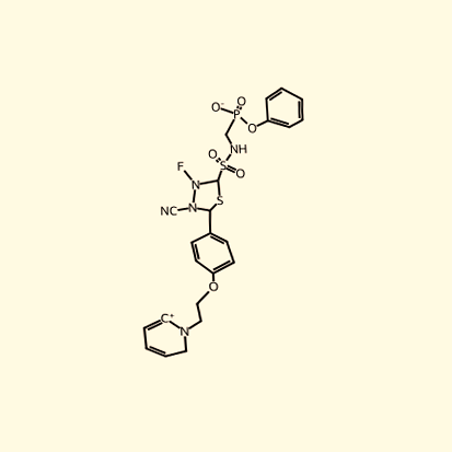 N#CN1C(c2ccc(OCCN3[C+]=CC=CC3)cc2)SC(S(=O)(=O)NCP(=O)([O-])Oc2ccccc2)N1F